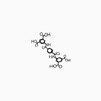 O=C(O)c1cc(NC(=O)c2ccc(C(=O)Nc3cc(C(=O)O)cc(C(=O)O)c3)cc2)cc(C(=O)O)c1